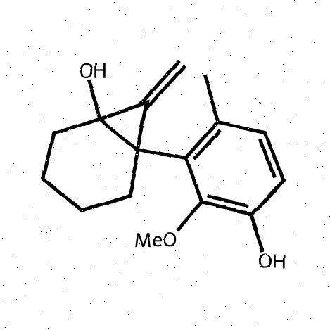 C=C1C2(O)CCCCC12c1c(C)ccc(O)c1OC